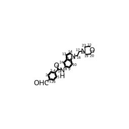 O=Cc1ccc(C(=O)Nc2ccc3c(ccn3CCN3CCOCC3)c2)cc1